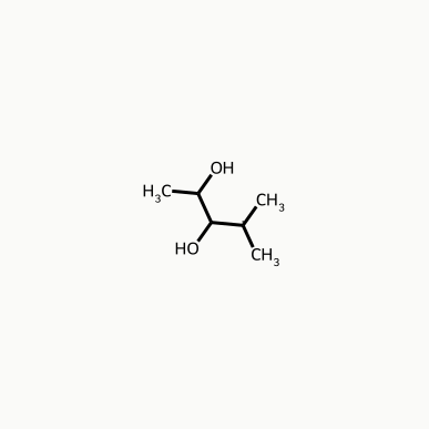 C[C](C)C(O)C(C)O